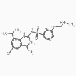 CNCNc1cncc(S(=O)(=O)NC(=O)Nc2c(C(C)C)cc(Cl)cc2C(C)C)n1